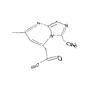 COC(=O)c1cc(C)nc2cnc(O)n12